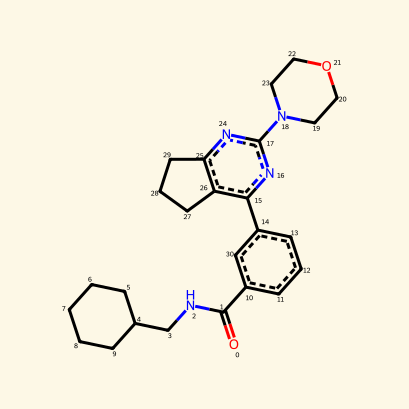 O=C(NCC1CCCCC1)c1cccc(-c2nc(N3CCOCC3)nc3c2CCC3)c1